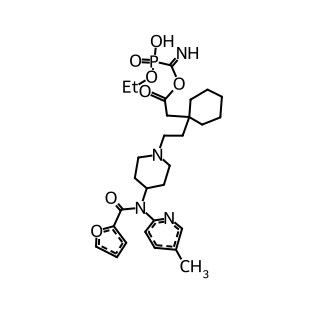 CCOP(=O)(O)C(=N)OC(=O)CC1(CCN2CCC(N(C(=O)c3ccco3)c3ccc(C)cn3)CC2)CCCCC1